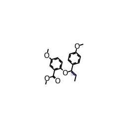 C/C=C(\Oc1ccc(OC)cc1C(=O)OC)c1ccc(OC)cc1